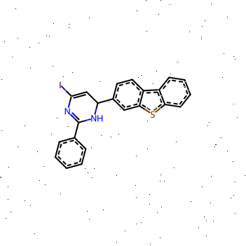 IC1=CC(c2ccc3c(c2)sc2ccccc23)NC(c2ccccc2)=N1